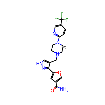 C[C@@H]1CN(Cc2c[nH]nc2-c2cc(C(N)=O)co2)CCN1c1ccc(C(F)(F)F)cn1